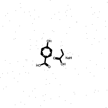 CCC(=O)O.O=C(O)c1ccc(O)cc1.[NaH]